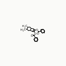 CC1CC2C(CC1C)C1CC2C(OC(=O)c2ccccc2)C1OC(=O)c1ccccc1